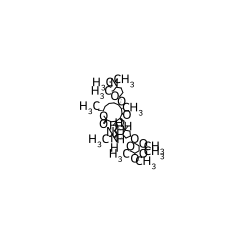 CC[C@H]1CCC[C@H](O[C@H]2CC[C@H](N(C)C)C(C)O2)[C@@H](C)C(=O)C2=C[C@H]3[C@@H]4C[C@H](O[C@@H]5OC(C)[C@H](OC)C(OC)C5OC)C[C@H]4c4[nH]c(C)nc4[C@H]3[C@@H]2CC(=O)O1